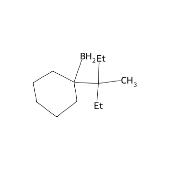 BC1(C(C)(CC)CC)CCCCC1